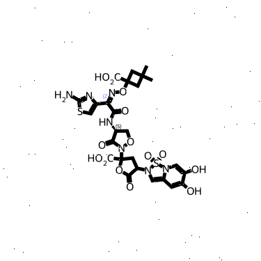 CC1(C)CC(O/N=C(\C(=O)N[C@H]2CON(C3(C(=O)O)CC(N4C=C5C=C(O)C(O)=CN5S4(=O)=O)C(=O)O3)C2=O)c2csc(N)n2)(C(=O)O)C1